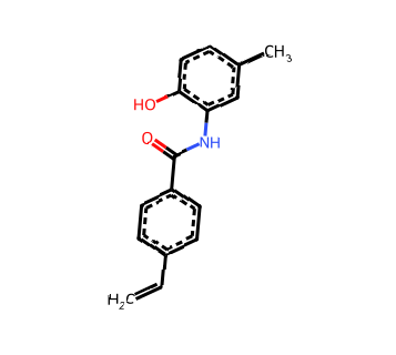 C=Cc1ccc(C(=O)Nc2cc(C)ccc2O)cc1